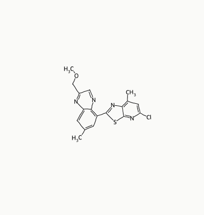 COCc1cnc2c(-c3nc4c(C)cc(Cl)nc4s3)cc(C)cc2n1